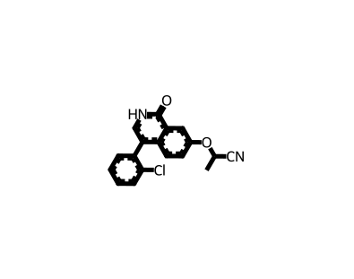 CC(C#N)Oc1ccc2c(-c3ccccc3Cl)c[nH]c(=O)c2c1